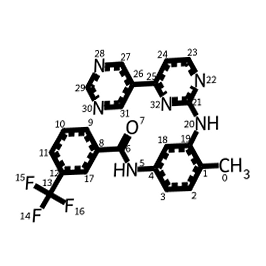 Cc1ccc(NC(=O)c2cccc(C(F)(F)F)c2)cc1Nc1nccc(-c2cncnc2)n1